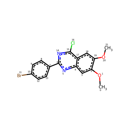 COc1cc2nc(-c3ccc(Br)cc3)nc(Cl)c2cc1OC